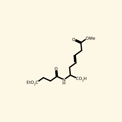 CCOC(=O)CCC(=O)NC(CC=CCC(=O)OC)C(=O)O